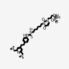 CN(C)Cc1cc(CCc2ccc(NC(=S)NCCCCCCn3c(=O)ccn(CC(CO)O[PH](=O)O)c3=O)cc2)cc(CN(C)C)n1